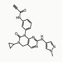 C#CC(=O)Nc1cccc(N2C(=O)N(C3CC3)Cc3cnc(Nc4cnn(C)c4)nc32)c1